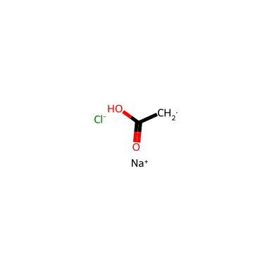 [CH2]C(=O)O.[Cl-].[Na+]